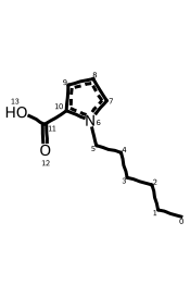 CCCCCCn1cccc1C(=O)O